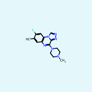 CN1CCN(c2nc3cc(C#N)c(F)cc3n3cnnc23)CC1